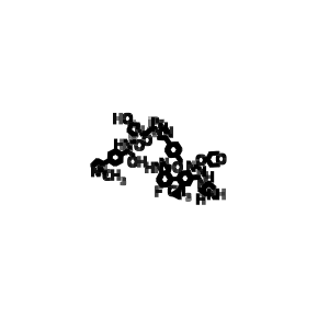 Cc1c(F)cc2[nH]ncc2c1-c1c(C2CC2)cc2c(N3C[C@@H]4C[C@H]3CN4)nc(OC3CCOCC3)nc2c1OCc1ccc(-c2cn([C@H](C(=O)N3C[C@H](O)C[C@H]3C(=O)N[C@@H](CO)c3ccc(-c4ccnn4C)cc3)C(C)C)nn2)cc1